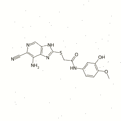 COc1ccc(NC(=O)CSc2nc3c(N)c(C#N)ncc3[nH]2)cc1O